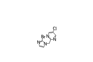 Clc1cnc(Cn2ccnc2Br)nc1